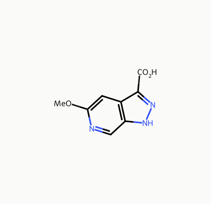 COc1cc2c(C(=O)O)n[nH]c2cn1